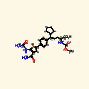 CC(C)(C)OC(=O)N[C@@H](C/C=C(/c1ccc(-c2cc(C(N)=O)c(NC(N)=O)s2)cc1)C1CCCC1)C(=O)O